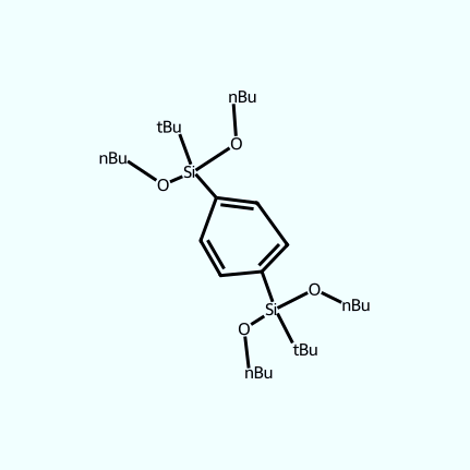 CCCCO[Si](OCCCC)(c1ccc([Si](OCCCC)(OCCCC)C(C)(C)C)cc1)C(C)(C)C